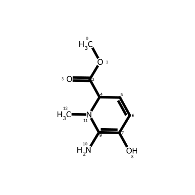 COC(=O)C1C=CC(O)=C(N)N1C